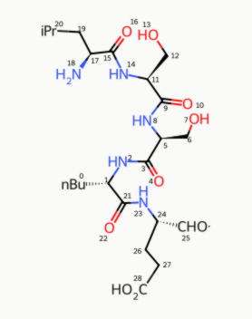 CCCC[C@H](NC(=O)[C@H](CO)NC(=O)[C@H](CO)NC(=O)[C@@H](N)CC(C)C)C(=O)N[C@H]([C]=O)CCC(=O)O